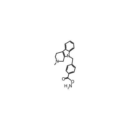 CN1CCc2c(n(Cc3ccc(C(=O)ON)cc3)c3ccccc23)C1